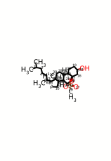 CC(C)CCC[C@@H](C)[C@H]1CC[C@H]2[C@@H]3CC=C4CC(O)CC[C@]4(COS(C)(=O)=O)[C@H]3CC[C@]12C